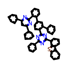 c1ccc(-c2cc(-c3ccccc3)nc(-c3ccccc3-c3ccc(-c4nc(-c5ccccc5)nc(-c5cccc6c5sc5ccccc56)n4)c(-c4ccccc4)c3)n2)cc1